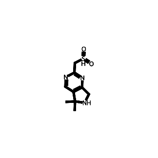 CC1(C)NCc2nc(C[SH](=O)=O)ncc21